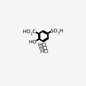 Cl.Cl.Cl.O=C(O)c1cc(S(=O)(=O)O)ccc1O